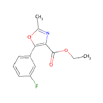 CCOC(=O)c1nc(C)oc1-c1cccc(F)c1